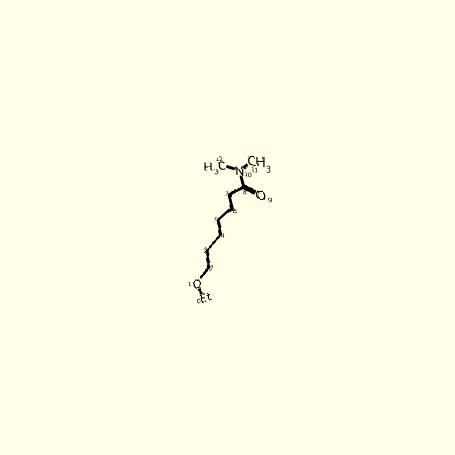 CCOCCCCCCC(=O)N(C)C